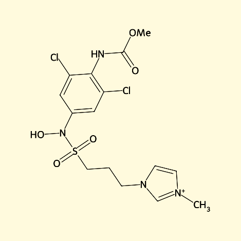 COC(=O)Nc1c(Cl)cc(N(O)S(=O)(=O)CCCn2cc[n+](C)c2)cc1Cl